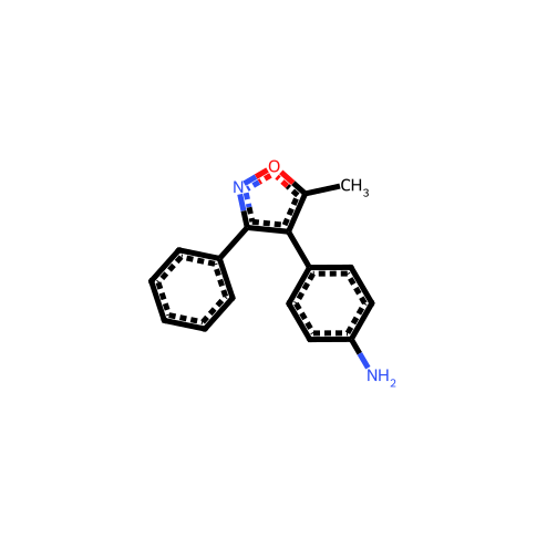 Cc1onc(-c2ccccc2)c1-c1ccc(N)cc1